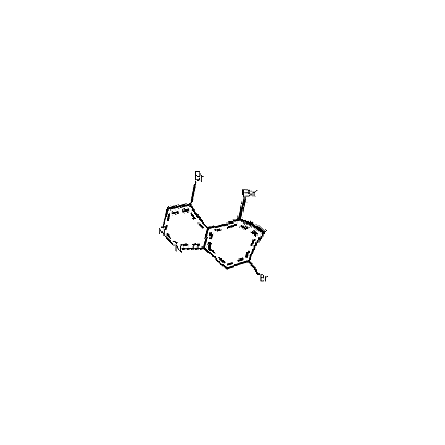 Brc1cc(Br)c2c(Br)cnnc2c1